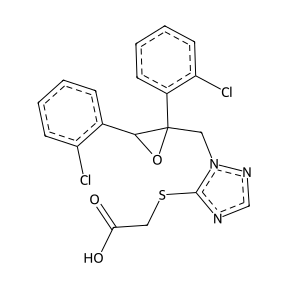 O=C(O)CSc1ncnn1CC1(c2ccccc2Cl)OC1c1ccccc1Cl